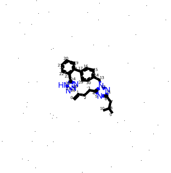 C=CCCc1nc(CC(C)C)nn1Cc1ccc(-c2ccccc2-c2nnn[nH]2)cc1